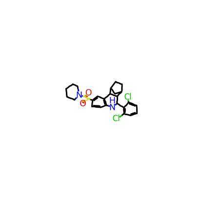 O=S(=O)(c1ccc2c(c1)C1C3CCC(C3)C1C(c1c(Cl)cccc1Cl)N2)N1CCCCC1